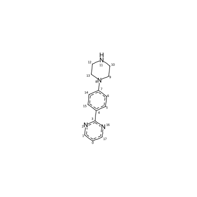 c1cnc(-c2ccc(N3CCNCC3)cc2)nc1